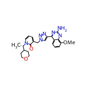 COc1cccc2c(-c3cn(Cc4cccn([C@@H](C)C5CCOCC5)c4=O)nn3)nc(N)nc12